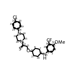 COc1ccc(NC2CCC(OCC(=S)N3CCN(c4ccc(Cl)cc4)CC3)CC2)cc1C(F)(F)F